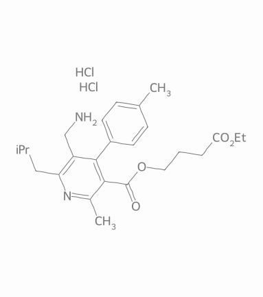 CCOC(=O)CCCOC(=O)c1c(C)nc(CC(C)C)c(CN)c1-c1ccc(C)cc1.Cl.Cl